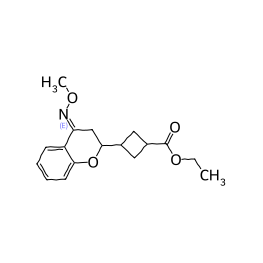 CCOC(=O)C1CC(C2C/C(=N\OC)c3ccccc3O2)C1